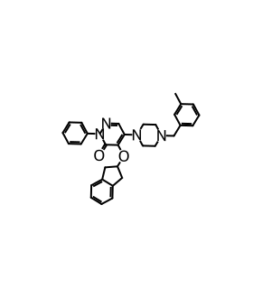 Cc1cccc(CN2CCN(c3cnn(-c4ccccc4)c(=O)c3OC3Cc4ccccc4C3)CC2)c1